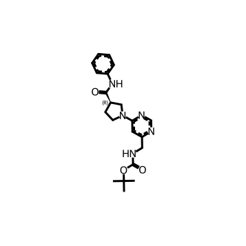 CC(C)(C)OC(=O)NCc1cc(N2CC[C@@H](C(=O)Nc3ccccc3)C2)ncn1